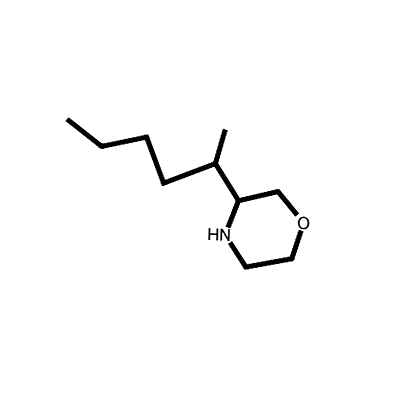 CCCCC(C)C1COCCN1